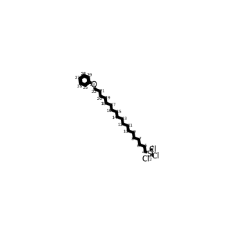 Cl[Si](Cl)(Cl)CCCCCCCCCCCCCCCCCCCOc1ccccc1